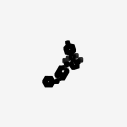 Cc1ccc(S(=O)(=O)N2C(=O)CC[C@H]2C(=O)N2CC3CC(CN(Cc4ccccc4)C3)C2)cc1